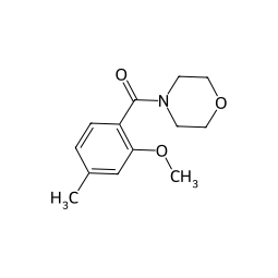 COc1cc(C)ccc1C(=O)N1CCOCC1